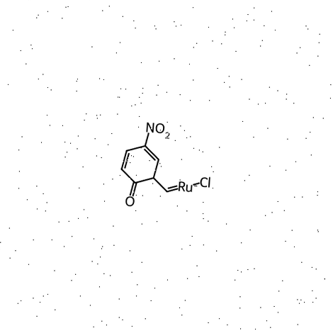 O=C1C=CC([N+](=O)[O-])=CC1[CH]=[Ru-][Cl]